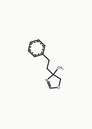 CC1(CCc2ccccc2)COC=N1